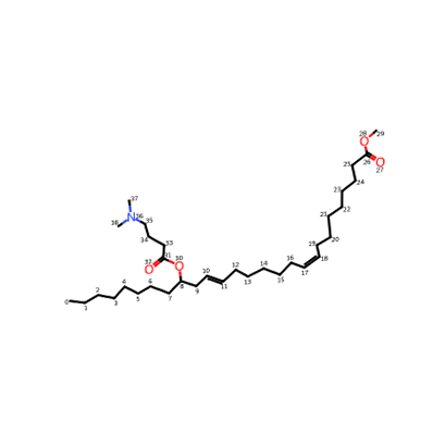 CCCCCCCCC(C/C=C/CCCCC/C=C\CCCCCCCC(=O)OC)OC(=O)CCCN(C)C